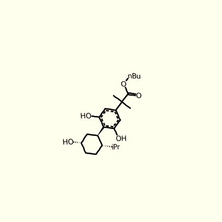 CCCCOC(=O)C(C)(C)c1cc(O)c([C@@H]2C[C@@H](O)CC[C@H]2C(C)C)c(O)c1